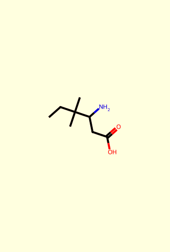 CCC(C)(C)C(N)CC(=O)O